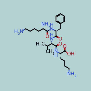 CC(C)[C@H](NC(=O)[C@H](Cc1ccccc1)NC(=O)[C@@H](N)CCCCN)C(=O)N[C@@H](CCCCN)C(=O)O